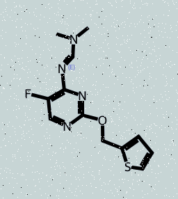 CN(C)/C=N/c1nc(OCc2cccs2)ncc1F